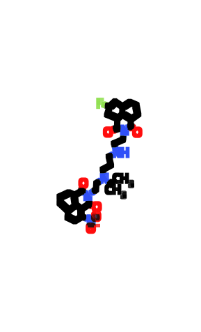 CC(C)N(CCCNCCN1C(=O)c2cccc3cc(F)cc(c23)C1=O)CCN1C(=O)c2cccc3ccc([N+](=O)[O-])c(c23)C1=O